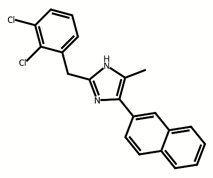 Cc1[nH]c(Cc2cccc(Cl)c2Cl)nc1-c1ccc2ccccc2c1